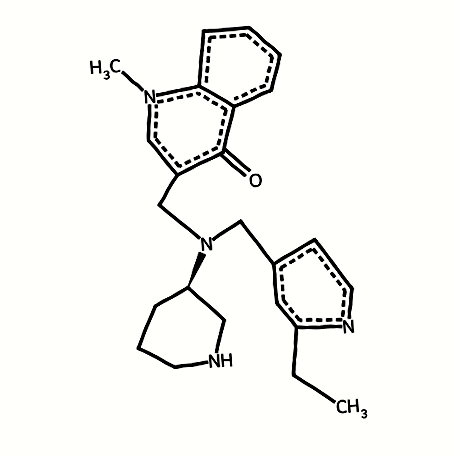 CCc1cc(CN(Cc2cn(C)c3ccccc3c2=O)[C@@H]2CCCNC2)ccn1